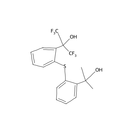 CC(C)(O)c1ccccc1Sc1ccccc1C(O)(C(F)(F)F)C(F)(F)F